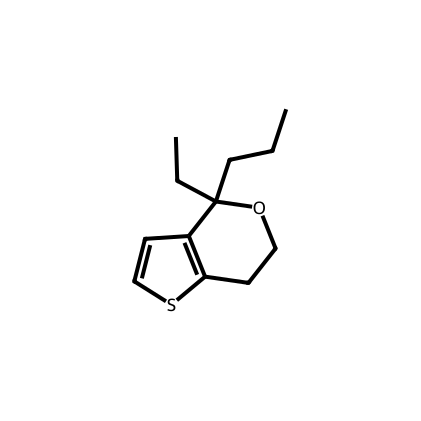 CCCC1(CC)OCCc2sccc21